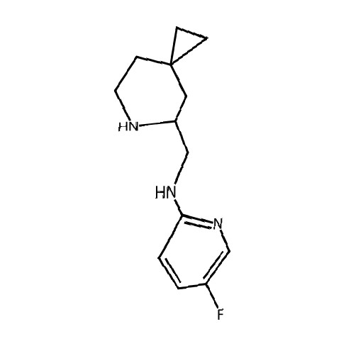 Fc1ccc(NCC2CC3(CCN2)CC3)nc1